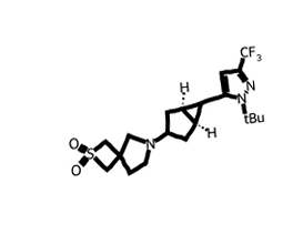 CC(C)(C)n1nc(C(F)(F)F)cc1C1[C@H]2CC(N3CCC4(C3)CS(=O)(=O)C4)C[C@@H]12